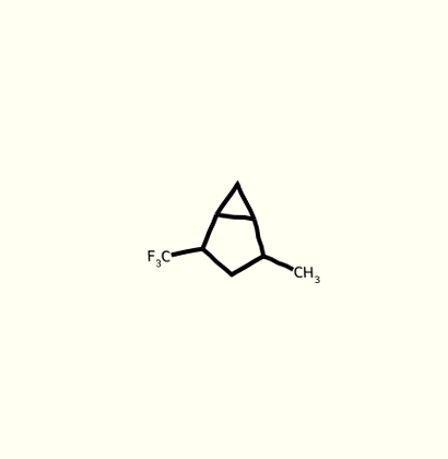 CC1CC(C(F)(F)F)C2CC12